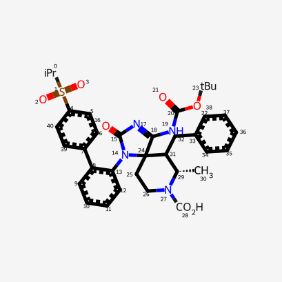 CC(C)S(=O)(=O)c1ccc(-c2ccccc2N2C(=O)N=C(NC(=O)OC(C)(C)C)C23CCN(C(=O)O)[C@@H](C)C3Cc2ccccc2)cc1